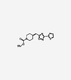 CC(C)(C)OC(=O)N1CCC(=Cc2nc(-c3cccs3)no2)CC1